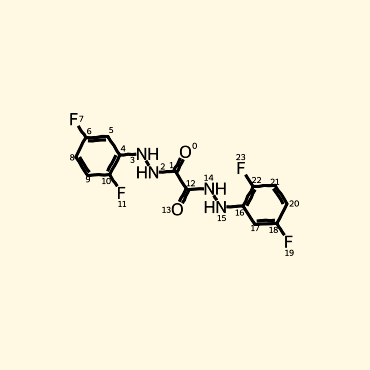 O=C(NNc1cc(F)ccc1F)C(=O)NNc1cc(F)ccc1F